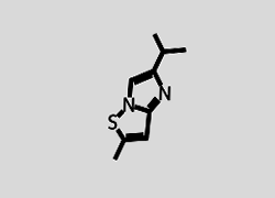 Cc1cc2nc(C(C)C)cn2s1